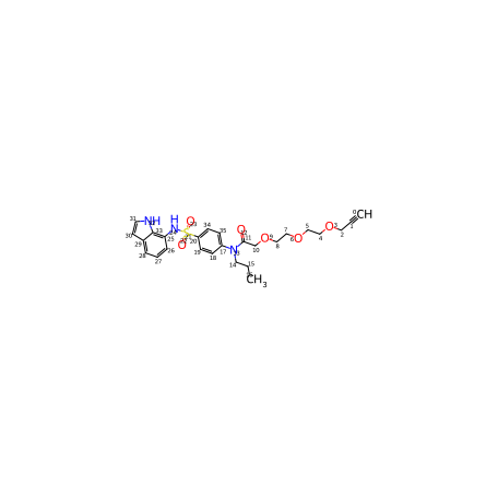 C#CCOCCOCCOCC(=O)N(CCC)c1ccc(S(=O)(=O)Nc2cccc3cc[nH]c23)cc1